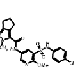 COc1ncc(NC(=O)c2c3c(nn2C)CCC3)cc1S(=O)(=O)Nc1ccc(Cl)cc1